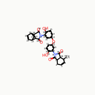 CCC1C=CCC2C(=O)N(c3cc(Oc4ccc(O)c(N5C(=O)C6C7C=CC(C7)C6C5=O)c4)ccc3O)C(=O)C12